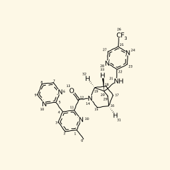 Cc1ccc(-c2ncccn2)c(C(=O)N2C[C@@H]3CC[C@H]2[C@H](Nc2cnc(C(F)(F)F)cn2)C3)n1